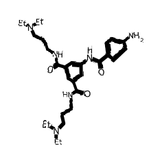 CCN(CC)CCCNC(=O)c1cc(NC(=O)c2ccc(N)cc2)cc(C(=O)NCCCN(CC)CC)c1